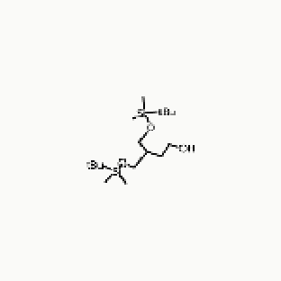 CC(C)(C)[Si](C)(C)OCC(CCO)CO[Si](C)(C)C(C)(C)C